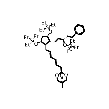 CC[Si](CC)(CC)O[C@@H](CCc1ccccc1)CC[C@@H]1[C@@H](CC=CCCCC23OCC(C)(CO2)CO3)[C@@H](O[Si](CC)(CC)CC)C[C@H]1O[Si](CC)(CC)CC